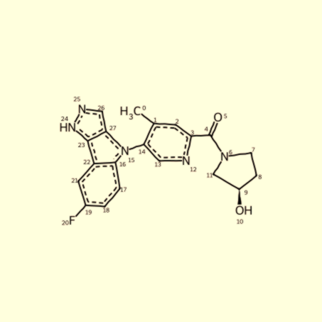 Cc1cc(C(=O)N2CC[C@@H](O)C2)ncc1-n1c2ccc(F)cc2c2[nH]ncc21